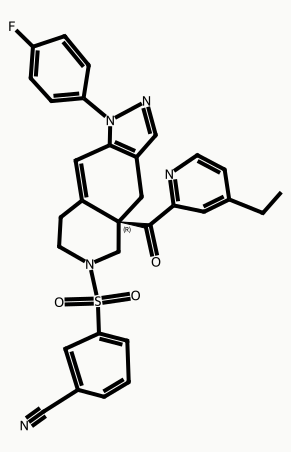 CCc1ccnc(C(=O)[C@]23Cc4cnn(-c5ccc(F)cc5)c4C=C2CCN(S(=O)(=O)c2cccc(C#N)c2)C3)c1